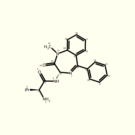 CC(C)[C@H](N)C(=O)N[C@H]1N=C(c2ccccc2)c2ccccc2N(C)C1=O